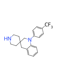 FC(F)(F)c1ccc(N2CC3(CCNCC3)Cc3ccccc32)cc1